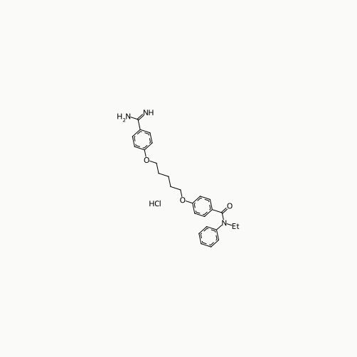 CCN(C(=O)c1ccc(OCCCCCOc2ccc(C(=N)N)cc2)cc1)c1ccccc1.Cl